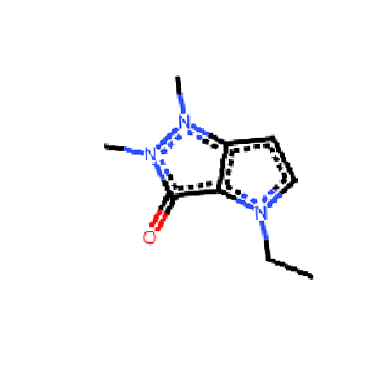 CCn1ccc2c1c(=O)n(C)n2C